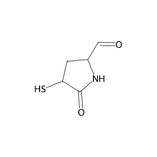 O=CC1CC(S)C(=O)N1